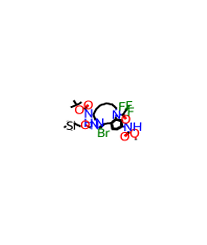 COC(=O)Nc1ccc2c(c1)N(C(=O)C(F)(F)F)CCCCCC(NC(=O)OC(C)(C)C)c1nc-2c(Br)n1COCC[Si](C)(C)C